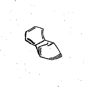 c1c2ccc(c#1)c1ccccc21